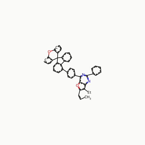 C/C=C\c1oc2c(-c3ccc(-c4cccc5c4-c4ccccc4C54c5ccccc5Oc5ccccc54)cc3)nc(-c3ccccc3)nc2c1CC